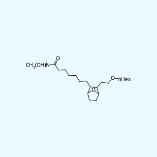 CCCCCCOCCC1C2CCC(O2)C1CCCCCCC(=O)N(C)O